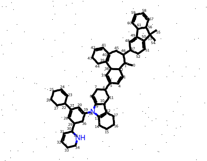 CC1C2C=CC(C3CC=C4C(C3)C3=C(CCCC3)N4C3=CC(C4C=CCCC4)=CC(C4C=CCCN4)C3)=CC2C2=C(C=CCC2)CC1C1C=C2C(=CC1)C(C)(C)C1C=CC=CC21